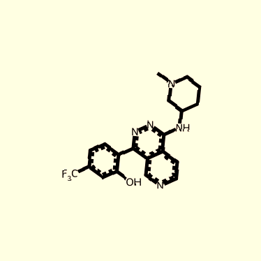 CN1CCCC(Nc2nnc(-c3ccc(C(F)(F)F)cc3O)c3cnccc23)C1